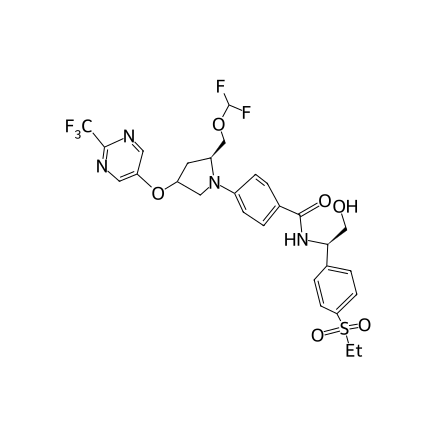 CCS(=O)(=O)c1ccc([C@H](CO)NC(=O)c2ccc(N3CC(Oc4cnc(C(F)(F)F)nc4)C[C@H]3COC(F)F)cc2)cc1